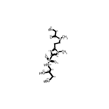 CN(CCc1nc(S(=O)(=O)NCC(O)CC(C)(C)C)cn1C)C(=O)CC(C)(C)C